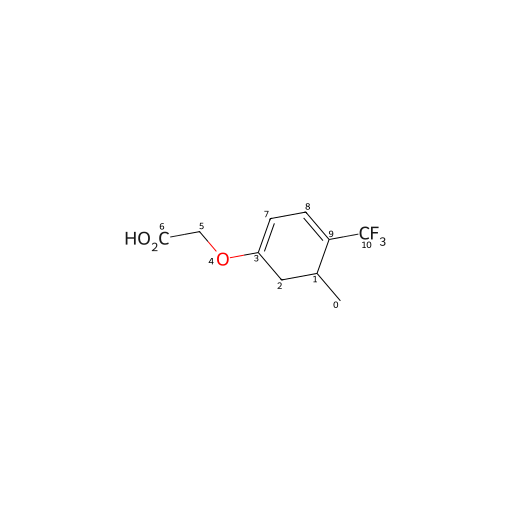 CC1CC(OCC(=O)O)=CC=C1C(F)(F)F